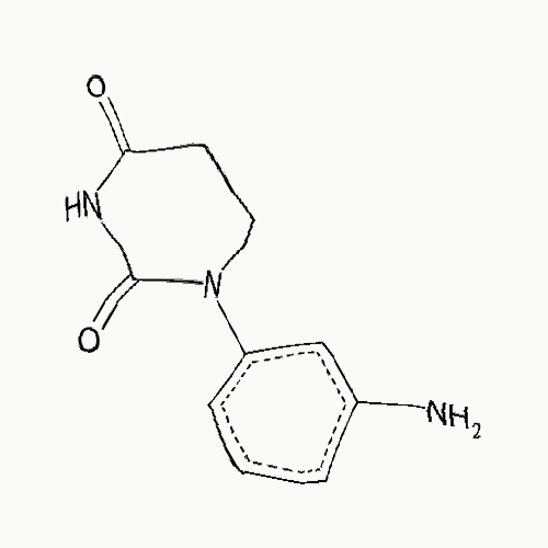 Nc1cccc(N2CCC(=O)NC2=O)c1